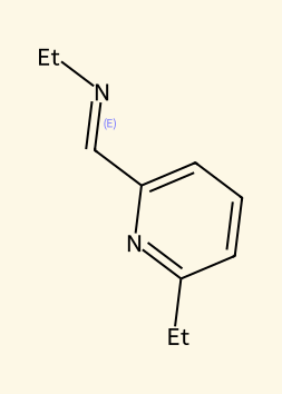 CC/N=C/c1cccc(CC)n1